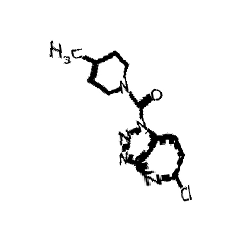 CC1CCN(C(=O)n2nnc3nc(Cl)ccc32)CC1